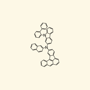 c1ccc(-c2ccccc2-n2c3ccccc3c3ccc(N(c4ccc5c(c4)-c4c6ccccc6cc6cccc-5c46)c4ccc5ccccc5c4)cc32)cc1